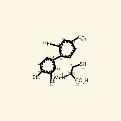 CCc1ccc(-c2ccc(C(F)(F)F)cc2F)cc1CC.CN[C@@H](CS)C(=O)O